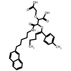 CCC/C=C(/OC(C(=O)NCCCCCc1ccc2ccccc2c1)C(OCC(=O)O)C(=O)O)c1ccc(C)cc1